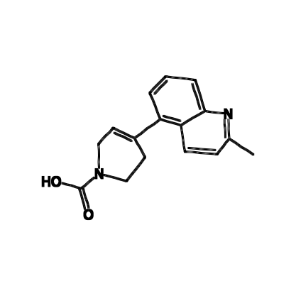 Cc1ccc2c(C3=CCN(C(=O)O)CC3)cccc2n1